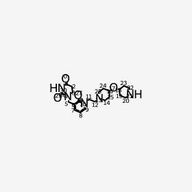 O=C1CCN(Cc2cccn(CCN3CCC(OC4CCNCC4)CC3)c2=O)C(=O)N1